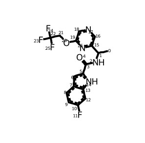 CC(NC(=O)c1cc2ccc(F)cc2[nH]1)c1cncc(OCC(F)(F)F)n1